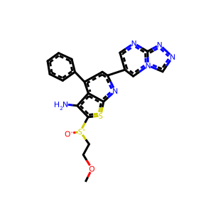 COCC[S+]([O-])c1sc2nc(-c3cnc4nncn4c3)cc(-c3ccccc3)c2c1N